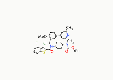 COc1ccc(-c2ccnc(C)c2)cc1CN(C(=O)c1sc2cccc(F)c2c1Cl)[C@H]1CC[C@H](N(C)C(=O)OC(C)(C)C)CC1